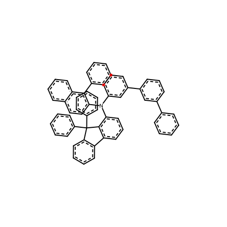 c1ccc(-c2cccc(-c3cccc(N(c4cccc5c4C(c4ccccc4)(c4ccccc4)c4ccccc4-5)c4ccc5ccccc5c4-c4ccccc4)c3)c2)cc1